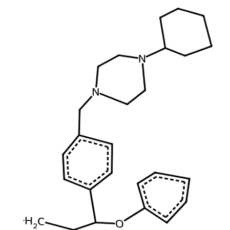 [CH2]CC(Oc1ccccc1)c1ccc(CN2CCN(C3CCCCC3)CC2)cc1